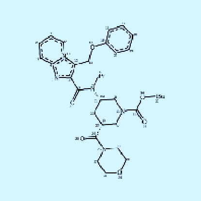 CC(C)N(C(=O)c1nc2ccccn2c1COc1ccccc1)[C@H]1C[C@@H](C(=O)N2CCOCC2)CN(C(=O)OC(C)(C)C)C1